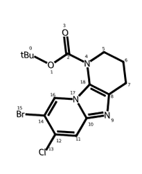 CC(C)(C)OC(=O)N1CCCc2nc3cc(Cl)c(Br)cn3c21